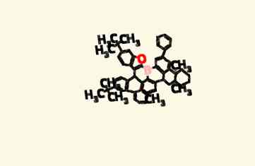 Cc1cc2c3c(c1)C(c1ccc(C(C)(C)C)cc1-c1ccccc1)c1c(oc4cc(C(C)(C)C)ccc14)B3c1cc(-c3ccccc3)cc3c1C2CC1(C)CCCCC31C